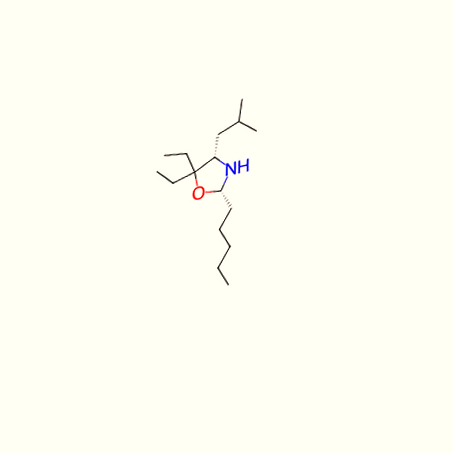 CCCCC[C@H]1N[C@@H](CC(C)C)C(CC)(CC)O1